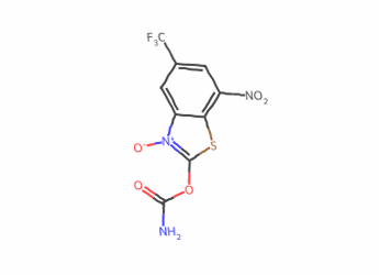 NC(=O)Oc1sc2c([N+](=O)[O-])cc(C(F)(F)F)cc2[n+]1[O-]